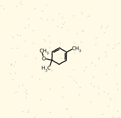 COC1(C)C=CC(C)=CC1